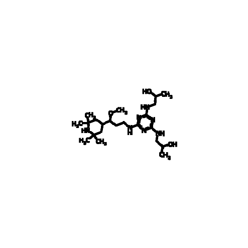 COC(CCNc1nc(NCC(C)O)nc(NCC(C)O)n1)C1CC(C)(C)NC(C)(C)C1